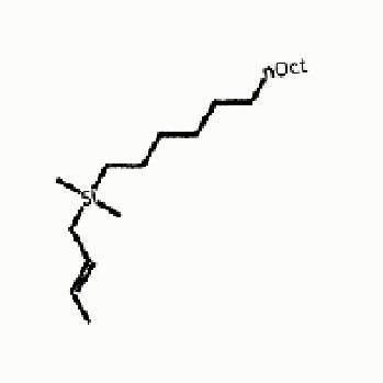 CC=CC[Si](C)(C)CCCCCCCCCCCCCC